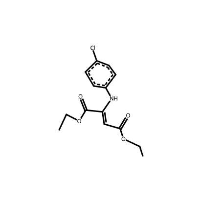 CCOC(=O)/C=C(\Nc1ccc(Cl)cc1)C(=O)OCC